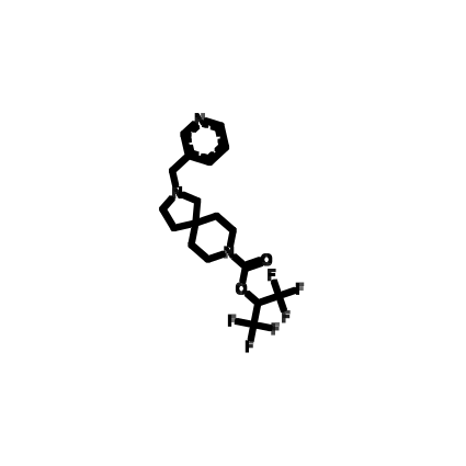 O=C(OC(C(F)(F)F)C(F)(F)F)N1CCC2(CCN(Cc3cccnc3)C2)CC1